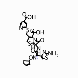 Nc1nc(/C(=N/OC2C=CCC2)C(=O)NC2C(=O)N3C(C(=O)O)=C(CSc4cc(C(=O)O)ccn4)CS[C@H]23)cs1